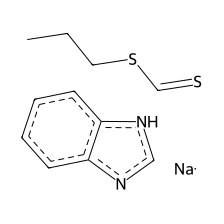 CCCSC=S.[Na].c1ccc2[nH]cnc2c1